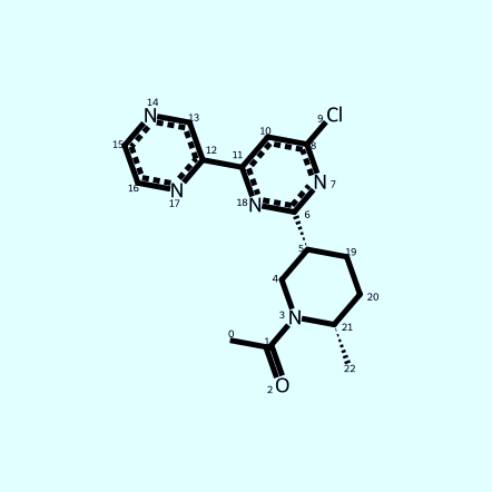 CC(=O)N1C[C@H](c2nc(Cl)cc(-c3cnccn3)n2)CC[C@@H]1C